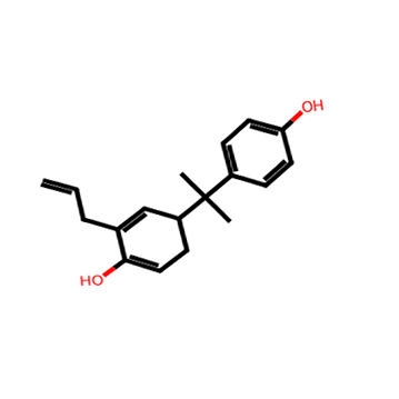 C=CCC1=CC(C(C)(C)c2ccc(O)cc2)CC=C1O